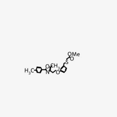 COC(=O)CSCc1cccc(OCCc2nc(-c3ccc(C)cc3)oc2C)c1